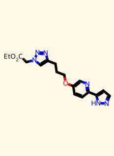 CCOC(=O)Cn1cc(CCCOc2ccc(-c3ccn[nH]3)nc2)nn1